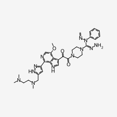 C=NN(/C(=N\N)N1CCN(C(=O)C(=O)c2c[nH]c3c(-c4cc(CN(C)CCN(C)C)[nH]n4)ncc(OC)c23)CC1)c1ccccc1